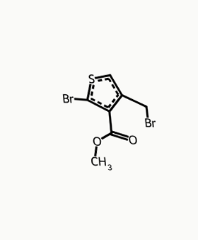 COC(=O)c1c(CBr)csc1Br